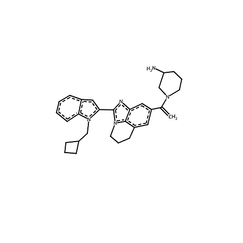 C=C(c1cc2c3c(c1)nc(-c1cc4ccccc4n1CC1CCC1)n3CCC2)N1CCCC(N)C1